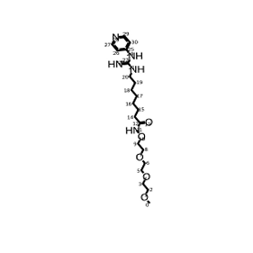 COCCOCCOCCONC(=O)CCCCCCCNC(=N)Nc1ccncc1